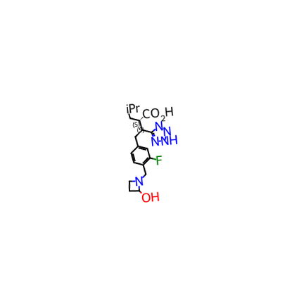 CC(C)C[C@H](C(=O)O)[C@H](Cc1ccc(CN2CCC2O)c(F)c1)c1nn[nH]n1